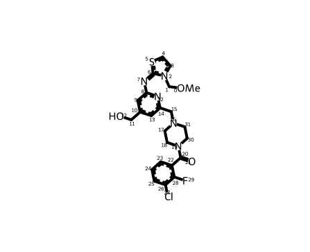 COCn1ccsc1=Nc1cc(CO)cc(CN2CCN(C(=O)c3cccc(Cl)c3F)CC2)n1